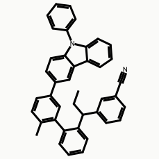 CCC(c1cccc(C#N)c1)c1ccccc1-c1cc(-c2ccc3c(c2)c2ccccc2n3-c2ccccc2)ccc1C